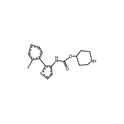 O=C(Nc1ccsc1-c1ccccc1F)OC1CCNCC1